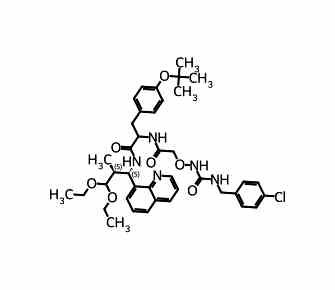 CCOC(OCC)[C@@H](C)[C@H](NC(=O)C(Cc1ccc(OC(C)(C)C)cc1)NC(=O)CONC(=O)NCc1ccc(Cl)cc1)c1cccc2cccnc12